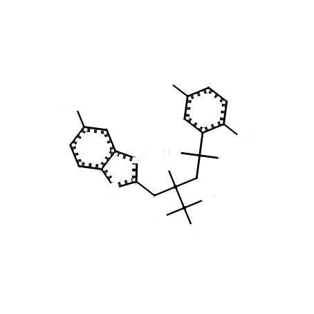 Cc1ccc2oc(CC(O)(CC(C)(C)c3cc(F)ccc3O)C(F)(F)F)nc2c1